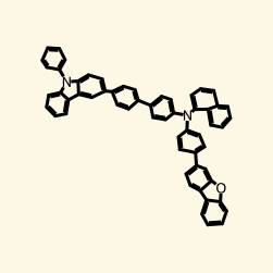 c1ccc(-n2c3ccccc3c3cc(-c4ccc(-c5ccc(N(c6ccc(-c7ccc8c(c7)oc7ccccc78)cc6)c6cccc7ccccc67)cc5)cc4)ccc32)cc1